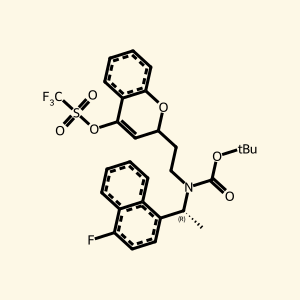 C[C@H](c1ccc(F)c2ccccc12)N(CCC1C=C(OS(=O)(=O)C(F)(F)F)c2ccccc2O1)C(=O)OC(C)(C)C